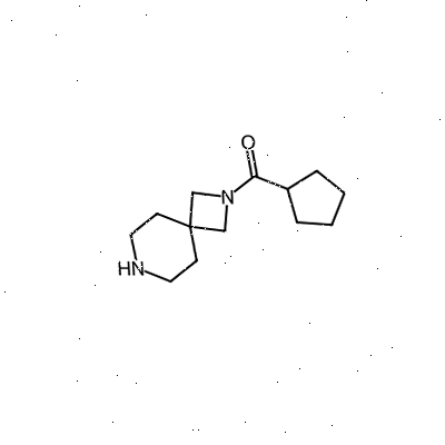 O=C(C1CCCC1)N1CC2(CCNCC2)C1